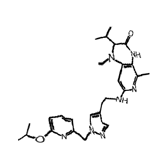 Cc1nc(NCc2cnn(Cc3cccc(OC(C)C)n3)c2)cc2c1NC(=O)C(C(C)C)N2C